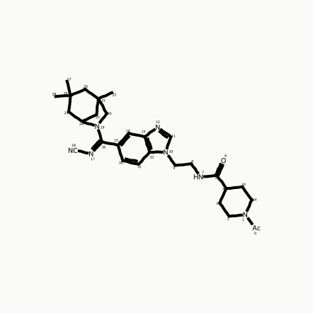 CC(=O)N1CCC(C(=O)NCCn2cnc3cc(/C(=N/C#N)N4CC5(C)CC4CC(C)(C)C5)ccc32)CC1